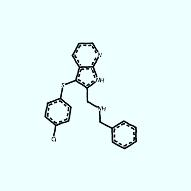 Clc1ccc(Sc2c(CNCc3ccccc3)[nH]c3ncccc23)cc1